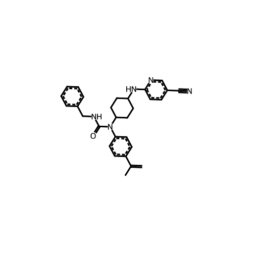 C=C(C)c1ccc(N(C(=O)NCc2ccccc2)C2CCC(Nc3ccc(C#N)cn3)CC2)cc1